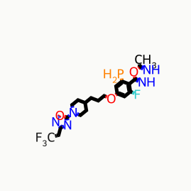 CC(=N)OC(=N)c1c(F)cc(OCCCC2CCN(c3nc(CC(F)(F)F)no3)CC2)cc1P